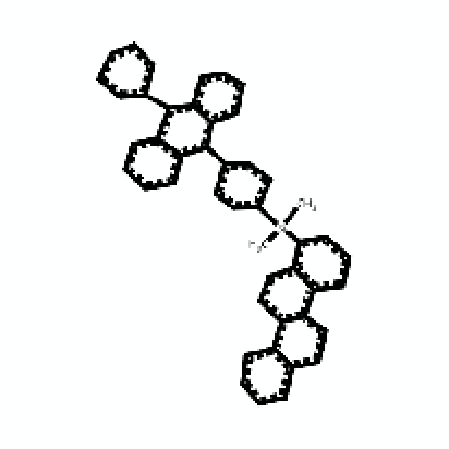 C[Si](C)(c1ccc(-c2c3ccccc3c(-c3ccccc3)c3ccccc23)cc1)c1cccc2c1ccc1c3ccccc3ccc21